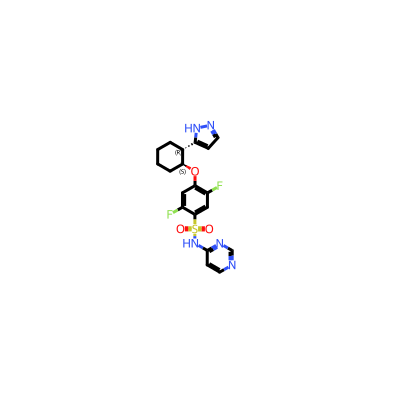 O=S(=O)(Nc1ccncn1)c1cc(F)c(O[C@H]2CCCC[C@@H]2c2ccn[nH]2)cc1F